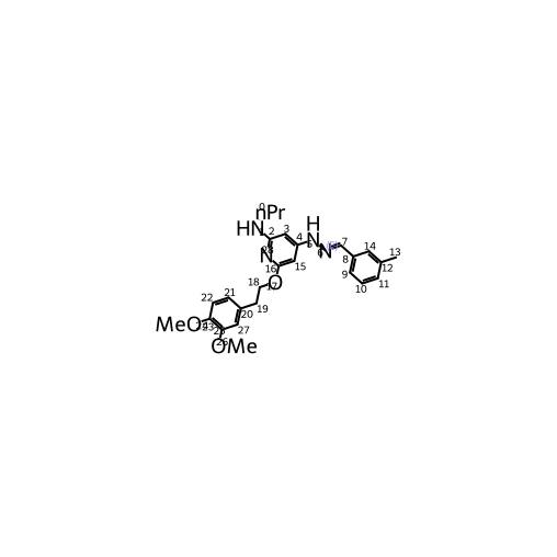 CCCNc1cc(N/N=C/c2cccc(C)c2)cc(OCCc2ccc(OC)c(OC)c2)n1